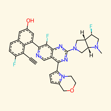 C#Cc1c(F)ccc2cc(O)cc(-c3ncc4c(-c5ccc6n5CCOC6)nc(N5C[C@H]6[C@@H](C5)N(C)C[C@@H]6F)nc4c3F)c12